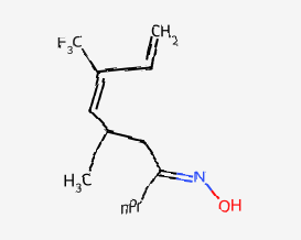 C=C/C(=C\C(C)C/C(CCC)=N/O)C(F)(F)F